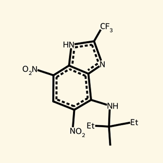 CCC(C)(CC)Nc1c([N+](=O)[O-])cc([N+](=O)[O-])c2[nH]c(C(F)(F)F)nc12